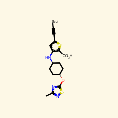 Cc1nsc(O[C@H]2CC[C@H](Nc3cc(C#CC(C)(C)C)sc3C(=O)O)CC2)n1